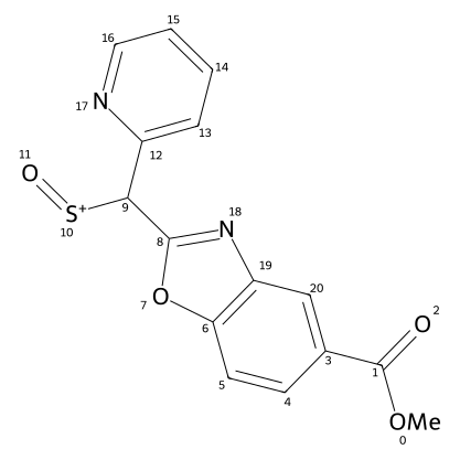 COC(=O)c1ccc2oc(C([S+]=O)c3ccccn3)nc2c1